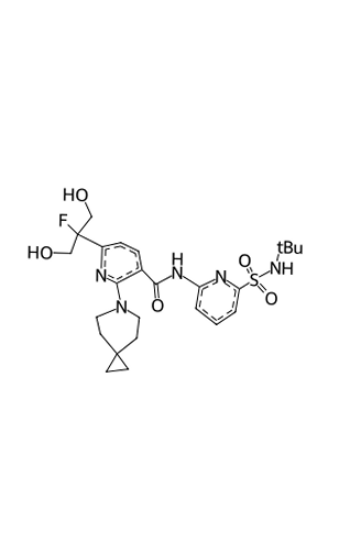 CC(C)(C)NS(=O)(=O)c1cccc(NC(=O)c2ccc(C(F)(CO)CO)nc2N2CCC3(CC2)CC3)n1